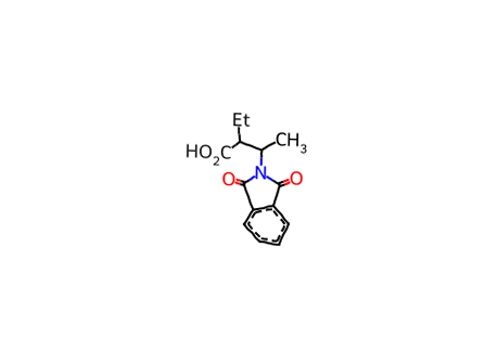 CCC(C(=O)O)C(C)N1C(=O)c2ccccc2C1=O